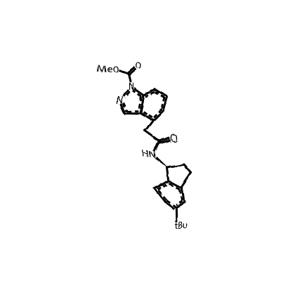 COC(=O)n1ncc2c(CC(=O)N[C@H]3CCc4cc(C(C)(C)C)ccc43)cccc21